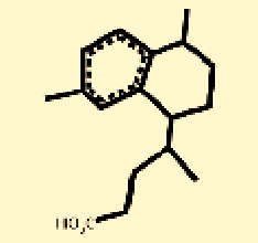 Cc1ccc2c(c1)C(C(C)CCC(=O)O)CCC2C